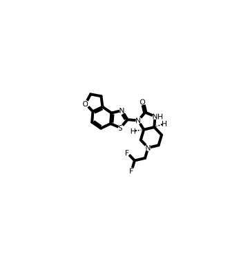 O=C1N[C@H]2CCN(CC(F)F)C[C@H]2N1c1nc2c3c(ccc2s1)OCC3